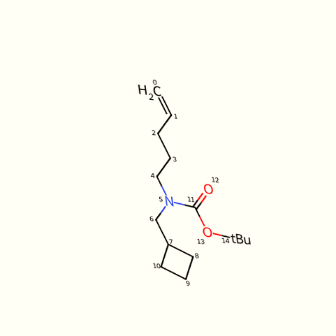 C=CCCCN(CC1CCC1)C(=O)OC(C)(C)C